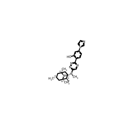 C[C@@H]1C[C@@]2(C)C[C@H](N(C)c3cnc(-c4ccc(-n5ccnc5)cc4O)nn3)[C@@H](F)[C@@](C)(C1)N2